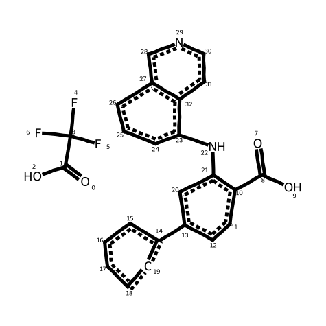 O=C(O)C(F)(F)F.O=C(O)c1ccc(-c2ccccc2)cc1Nc1cccc2cnccc12